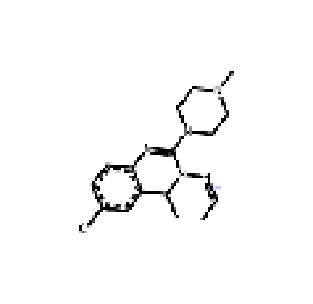 C/C=N\N1C(N2CCN(C)CC2)=Nc2ccc(Cl)cc2C1C